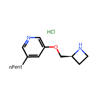 CCCCCc1cncc(OC[C@@H]2CCN2)c1.Cl